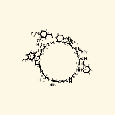 CCCC[C@H]1CC[C@H](CCc2ccc(C(F)(F)F)c(Cl)c2)C2CNCC(C)N[C@@H](Cc3ccc(Cl)cc3)C(C)N3CCC3=CN=CC(C)=NC([C@@H](C)CC)=CN=CCNCCNC[C@@H](C(=O)N3CCCCC3)N(C)C[C@H](CC(C)C)NCC(C)(C)C(C)N21